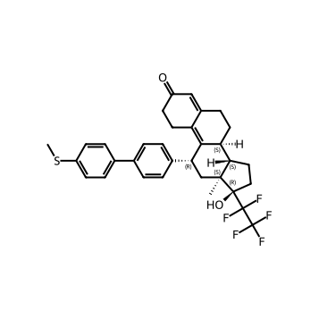 CSc1ccc(-c2ccc([C@H]3C[C@@]4(C)[C@@H](CC[C@]4(O)C(F)(F)C(F)(F)F)[C@@H]4CCC5=CC(=O)CCC5=C43)cc2)cc1